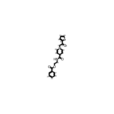 O=C(OCCNC(=O)C1C=CN(CC(=O)c2cccs2)C=C1)c1ccccc1